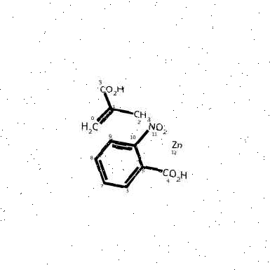 C=C(C)C(=O)O.O=C(O)c1ccccc1[N+](=O)[O-].[Zn]